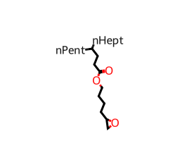 CCCCCCCC(CCCCC)CCC(=O)OCCCCC1CO1